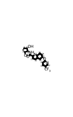 O=C(N[C@H]1C(O)SC[C@H]1O)c1ccc2cc(Oc3ccc(C(F)(F)F)cn3)ccc2n1